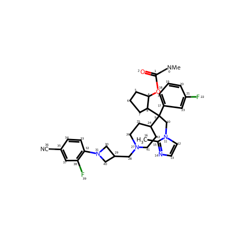 CNC(=O)OC1CCCC1C(Cn1ccnc1C)(c1cccc(F)c1)C1CCN(CC2CN(c3ccc(C#N)cc3F)C2)CC1